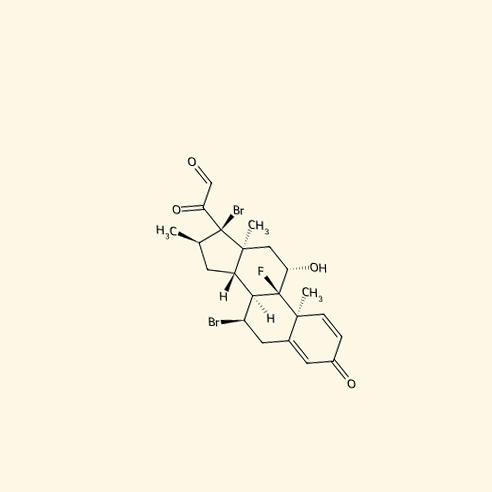 C[C@@H]1C[C@H]2[C@@H]3[C@H](Br)CC4=CC(=O)C=C[C@]4(C)[C@@]3(F)[C@@H](O)C[C@]2(C)[C@@]1(Br)C(=O)C=O